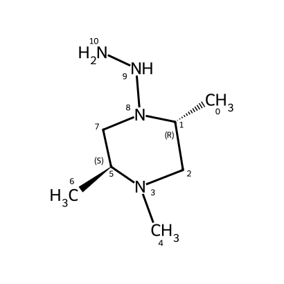 C[C@@H]1CN(C)[C@@H](C)CN1NN